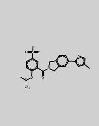 Cc1csc(-c2ccc3c(c2)CN(C(=O)c2cc(S(C)(=O)=O)ccc2O[C@@H](C)C(F)(F)F)C3)c1